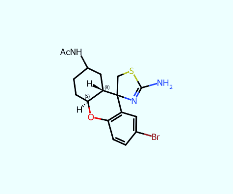 CC(=O)NC1CC[C@@H]2Oc3ccc(Br)cc3C3(CSC(N)=N3)[C@H]2C1